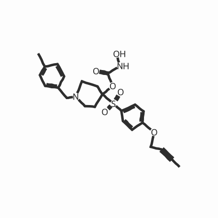 CC#CCOc1ccc(S(=O)(=O)C2(OC(=O)NO)CCN(Cc3ccc(C)cc3)CC2)cc1